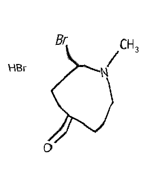 Br.CN1CCC(=O)CC1Br